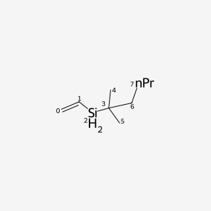 C=C[SiH2]C(C)(C)CCCC